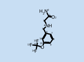 NC(=O)CNCc1cccc(OC(F)(F)F)c1